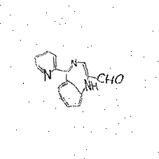 O=CC1=CN=C(c2ccccn2)c2ccccc2N1